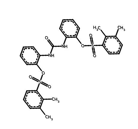 Cc1cccc(S(=O)(=O)Oc2ccccc2NC(=O)Nc2ccccc2OS(=O)(=O)c2cccc(C)c2C)c1C